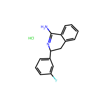 Cl.NC1=NC(c2cccc(F)c2)Cc2ccccc21